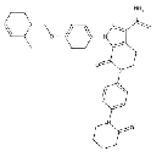 CC1C=CC=CC1COc1ccc(-n2nc(C(N)=O)c3c2C(=O)N(c2ccc(N4CCCCC4=O)cc2)CC3)cc1